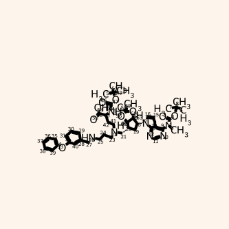 CN(C(=O)OC(C)(C)C)c1ncnc2c1ccn2[C@@H]1C[C@H](CN(CCCNCc2cccc(Oc3ccccc3)c2)CCC(NC(=O)OC(C)(C)C)C(=O)O)[C@H]2OC(C)(C)O[C@H]21